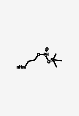 CCCCCCCCO[PH](=O)O[Si](C)(C)C